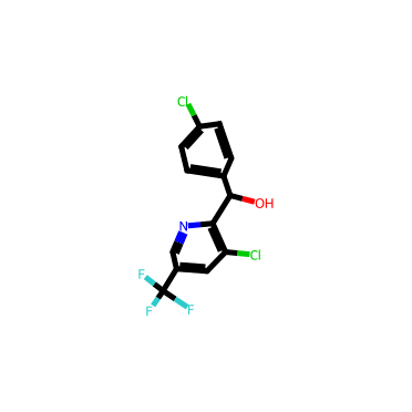 OC(c1ccc(Cl)cc1)c1ncc(C(F)(F)F)cc1Cl